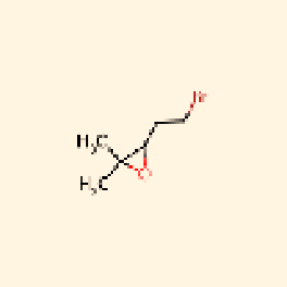 CC1(C)OC1CCBr